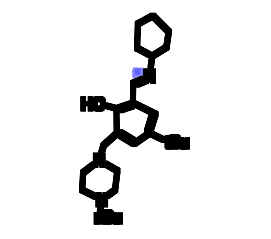 CCCCN1CCN(Cc2cc(C(C)(C)C)cc(/C=N/C3CCCCC3)c2O)CC1